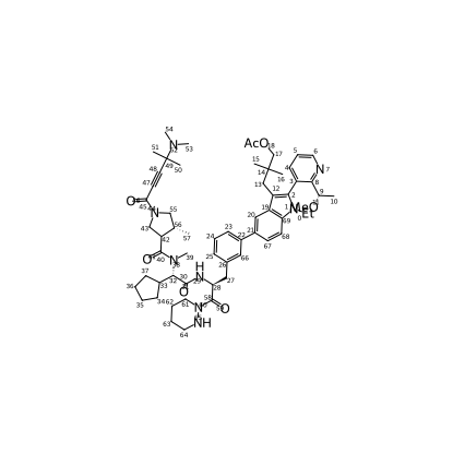 CCn1c(-c2cccnc2[C@H](C)OC)c(CC(C)(C)COC(C)=O)c2cc(-c3cccc(C[C@H](NC(=O)[C@H](C4CCCC4)N(C)C(=O)C4CN(C(=O)C#CC(C)(C)N(C)C)C[C@@H]4C)C(=O)N4CCCCN4)c3)ccc21